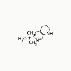 CC(C)(C)c1cc2c(cn1)NCCC2